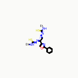 CCN/C(S)=N/N=C/C(=N/N=C(\S)NCC)c1coc(-c2ccccc2)n1